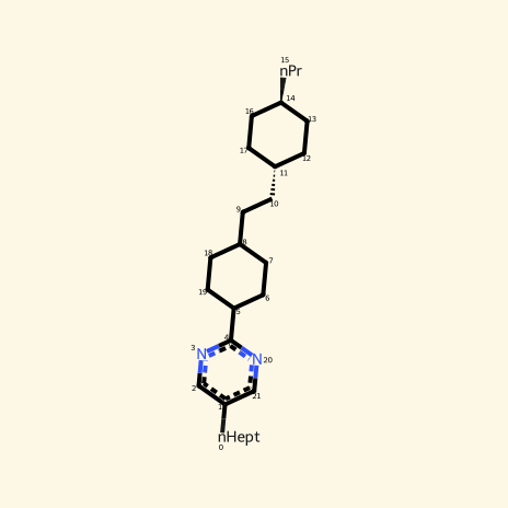 CCCCCCCc1cnc(C2CCC(CC[C@H]3CC[C@H](CCC)CC3)CC2)nc1